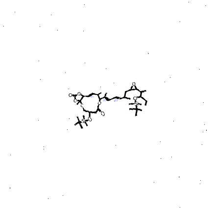 CCC(O[Si](C)(C)C(C)(C)C)C(C)C1OC1CC(C)/C=C/C=C(\C)C1OC(=O)CC(O[Si](C)(C)C(C)(C)C)CCC2(C)OC(=O)OC2/C=C/C1C